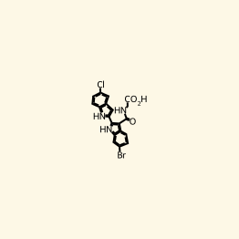 O=C(O)CNC(=O)c1c(-c2cc3cc(Cl)ccc3[nH]2)[nH]c2cc(Br)ccc12